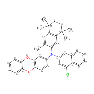 Cc1cc2c(cc1N(c1ccc3c(c1)Oc1ccccc1O3)c1cc(Cl)c3ccccc3c1)C(C)(C)CCC2(C)C